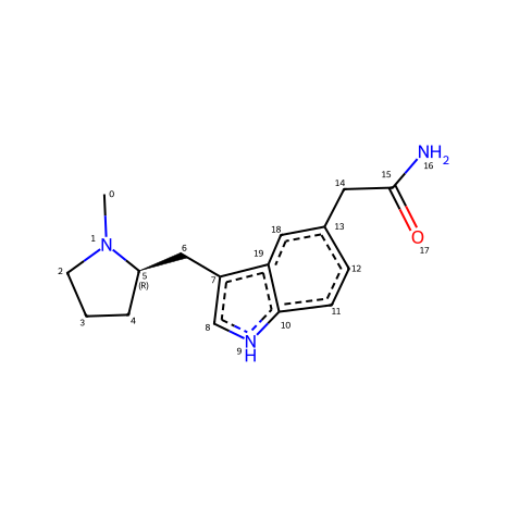 CN1CCC[C@@H]1Cc1c[nH]c2ccc(CC(N)=O)cc12